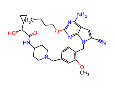 CCCCOc1nc(N)c2cc(C#N)n(Cc3ccc(CN4CCC(NC(=O)[C@@H](O)C5CC5)CC4)cc3OC)c2n1